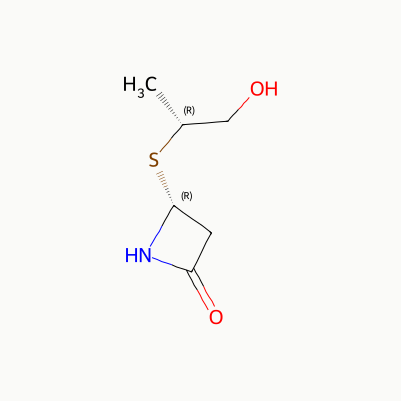 C[C@H](CO)S[C@@H]1CC(=O)N1